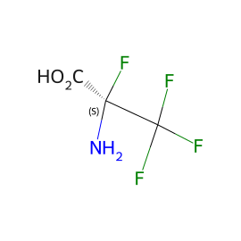 N[C@](F)(C(=O)O)C(F)(F)F